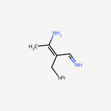 CCCC/C(C=N)=C(\C)N